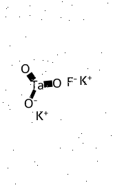 [F-].[K+].[K+].[O]=[Ta](=[O])[O-]